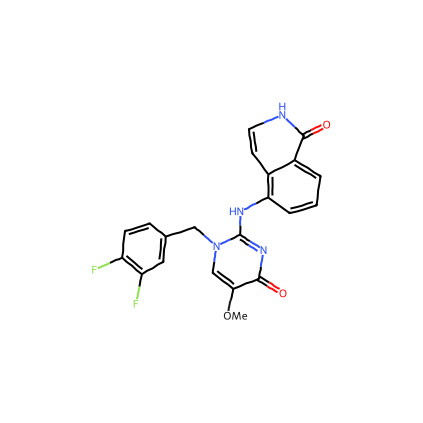 COc1cn(Cc2ccc(F)c(F)c2)c(Nc2cccc3c(=O)[nH]ccc23)nc1=O